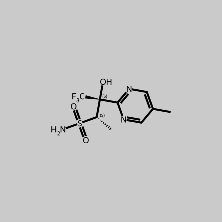 Cc1cnc([C@@](O)([C@H](C)S(N)(=O)=O)C(F)(F)F)nc1